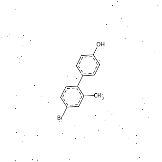 Cc1cc(Br)ccc1-c1ccc(O)cc1